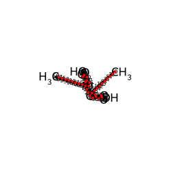 CCCCCCCCCCCCCCCCCCN1C(=CC=Cc2oc3ccc(-c4ccc(S(=O)(=O)O)cc4)cc3[n+]2CCCCCCCCCCCCCCCCCC)Oc2ccc(-c3ccc(S(=O)(=O)O)cc3)cc21